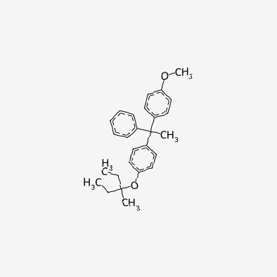 CCC(C)(CC)Oc1ccc(C(C)(c2ccccc2)c2ccc(OC)cc2)cc1